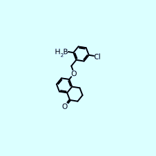 Bc1ccc(Cl)cc1COc1cccc2c1CCCC2=O